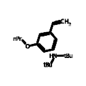 C=Cc1cccc(OCCC)c1.CC(C)(C)NC(C)(C)C